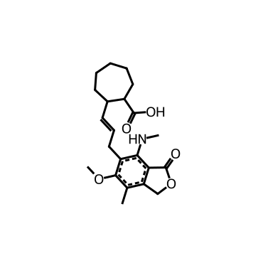 CNc1c(C/C=C/C2CCCCCC2C(=O)O)c(OC)c(C)c2c1C(=O)OC2